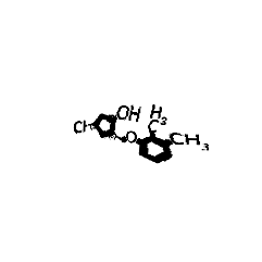 Cc1cccc(OC[C@@H]2C[C@H](Cl)C[C@H]2O)c1C